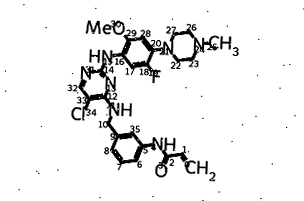 C=CC(=O)Nc1cccc(CNc2nc(Nc3cc(F)c(N4CCN(C)CC4)cc3OC)ncc2Cl)c1